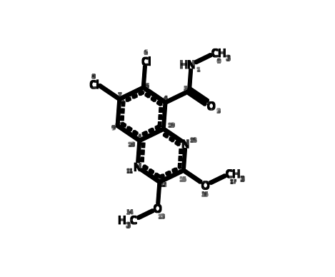 CNC(=O)c1c(Cl)c(Cl)cc2nc(OC)c(OC)nc12